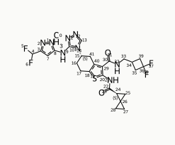 Cn1nc(C(F)F)cc1Nc1nncn1[C@H]1CCc2sc(NC(=O)[C@H]3CC34CC4)c(C(=O)NCC3CC(F)(F)C3)c2C1